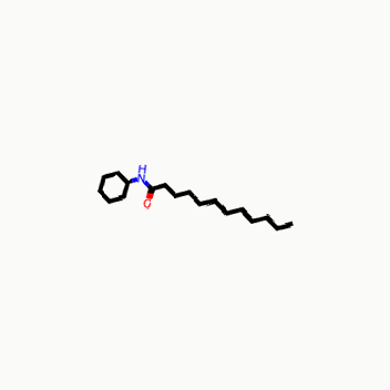 CCCCCCCCCCCC(=O)NC1CCCCC1